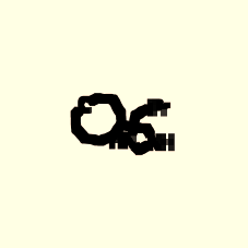 CC(C)CC1(C2CCCCCCCCC2)CNCN1